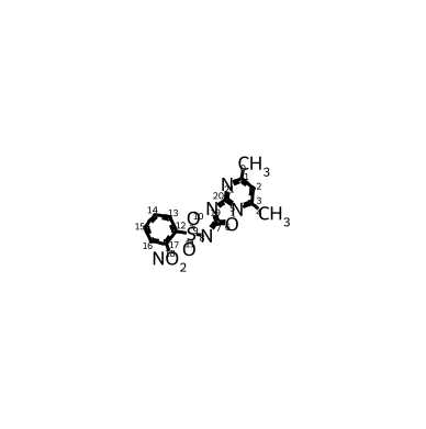 Cc1cc(C)n2oc(=NS(=O)(=O)c3ccccc3[N+](=O)[O-])nc2n1